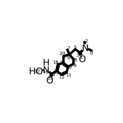 CN(C)C(=O)CC1(C)CCc2ccc(C(=O)NO)cc2C1